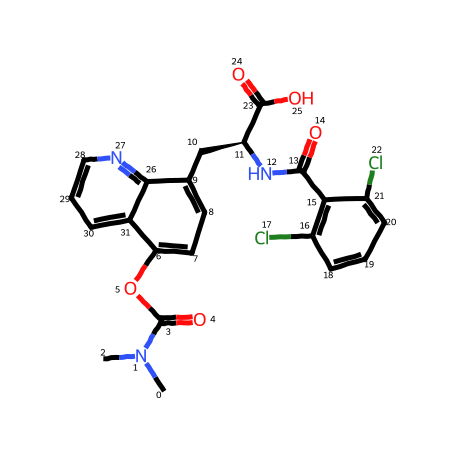 CN(C)C(=O)Oc1ccc(C[C@H](NC(=O)c2c(Cl)cccc2Cl)C(=O)O)c2ncccc12